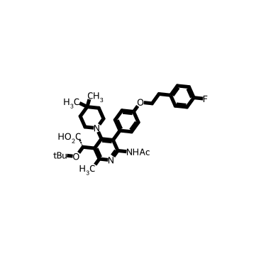 CC(=O)Nc1nc(C)c([C@H](OC(C)(C)C)C(=O)O)c(N2CCC(C)(C)CC2)c1-c1ccc(OCCc2ccc(F)cc2)cc1